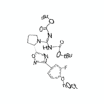 CCCCCCCCOc1ccc(-c2noc([C@@H]3CCCN3/C(=N\C(=O)OC(C)(C)C)NC(=O)OC(C)(C)C)n2)cc1F